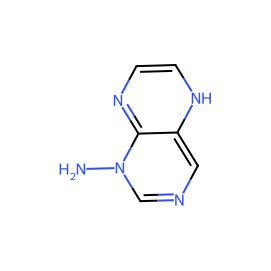 NN1C=NC=C2NC=CN=C21